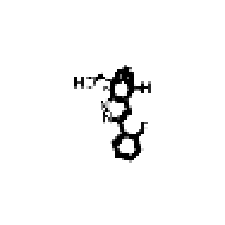 C=C1[C@@H]2CC[C@@]1(CO)c1nnc(-c3ccccc3F)cc12